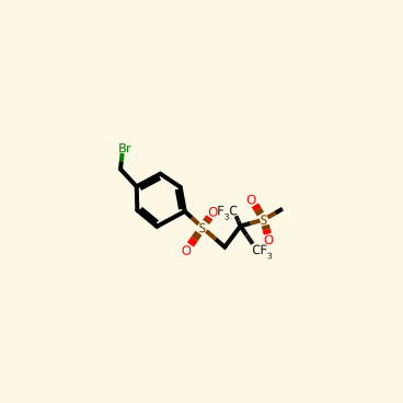 CS(=O)(=O)C(CS(=O)(=O)c1ccc(CBr)cc1)(C(F)(F)F)C(F)(F)F